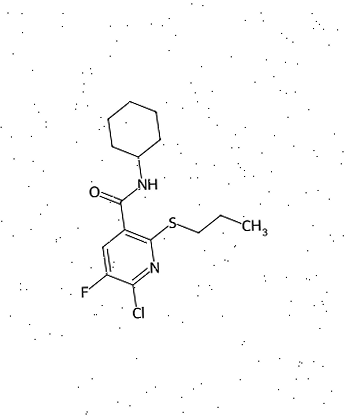 CCCSc1nc(Cl)c(F)cc1C(=O)NC1CCCCC1